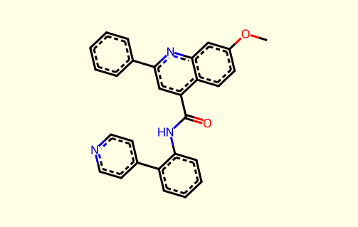 COc1ccc2c(C(=O)Nc3ccccc3-c3ccncc3)cc(-c3ccccc3)nc2c1